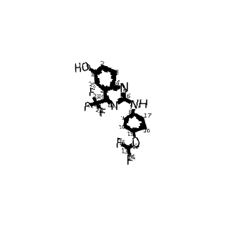 Oc1ccc2nc(Nc3ccc(OC(F)F)cc3)nc(C(F)(F)F)c2c1